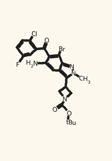 Cn1nc2c(Br)c(C(=O)c3cc(F)ccc3Cl)c(N)cc2c1C1CN(C(=O)OC(C)(C)C)C1